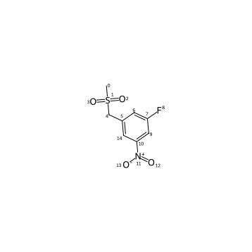 CS(=O)(=O)Cc1cc(F)cc([N+](=O)[O-])c1